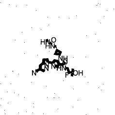 CNC(=O)NC[C@H]1C[C@H](Nc2cc(-c3ccc4cc(C#N)cnn34)ncc2C(=O)NC[C@@H](F)C(C)(C)O)C1